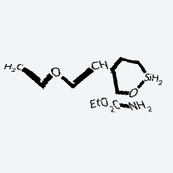 C1CC[SiH2]OC1.C=COC=C.CCOC(N)=O